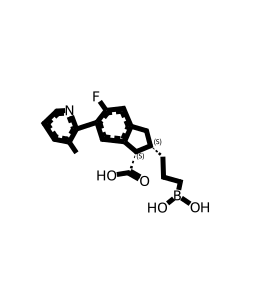 Cc1cccnc1-c1cc2c(cc1F)C[C@H](CCCB(O)O)[C@@H]2C(=O)O